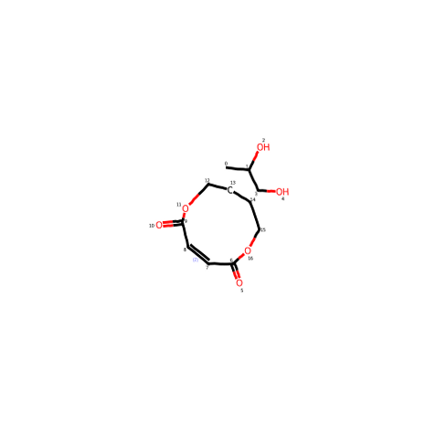 CC(O)CO.O=C1/C=C\C(=O)OCCCCO1